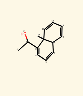 CC(O)C1=CC=CC2C=CC=CC12C